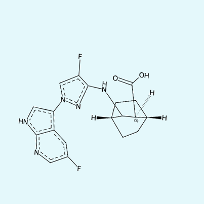 O=C(O)[C@@H]1C(Nc2nn(-c3c[nH]c4ncc(F)cc34)cc2F)[C@H]2CC[C@@H]1CC2